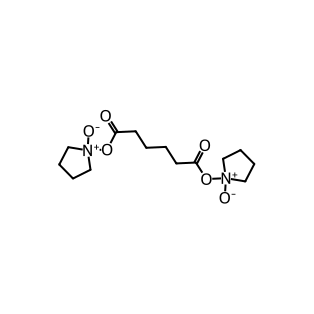 O=C(CCCCC(=O)O[N+]1([O-])CCCC1)O[N+]1([O-])CCCC1